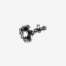 O=C1COc2ccc(cc2)C(C(=O)O)NC(=O)[C@H](Cc2ccccc2)NC(=O)[C@H](Cc2ccc(-c3ccc(NC(=O)OCc4ccccc4)cc3)cc2)NC(=O)[C@H](CC2CC=CS2)N1